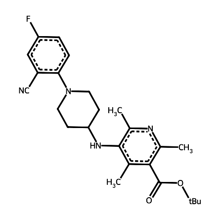 Cc1nc(C)c(C(=O)OC(C)(C)C)c(C)c1NC1CCN(c2ccc(F)cc2C#N)CC1